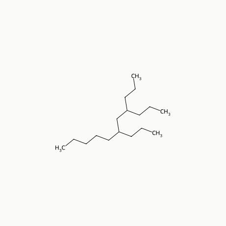 CCCCCC(CCC)CC(CCC)CCC